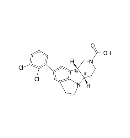 O=C(O)N1CC[C@H]2[C@@H](C1)c1cc(-c3cccc(Cl)c3Cl)cc3c1N2CC3